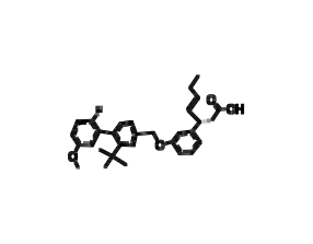 CC/C=C/[C@H](CC(=O)O)c1cccc(OCc2ccc(-c3cc(OC)ccc3F)c(C(C)(C)C)c2)c1